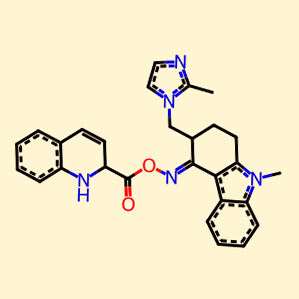 Cc1nccn1CC1CCc2c(c3ccccc3n2C)/C1=N/OC(=O)C1C=Cc2ccccc2N1